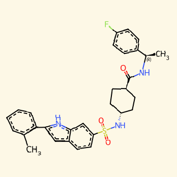 Cc1ccccc1-c1cc2ccc(S(=O)(=O)N[C@H]3CC[C@H](C(=O)N[C@H](C)c4ccc(F)cc4)CC3)cc2[nH]1